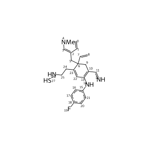 C=C/C(=C\NC)CC1(C=C)CC(C=N)=C(Nc2ccc(F)cc2)C=C1CCNS